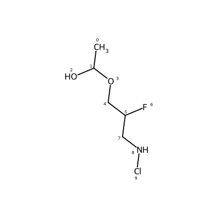 CC(O)OCC(F)CNCl